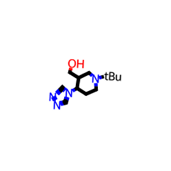 CC(C)(C)N1CCC(n2cnnc2)C(CO)C1